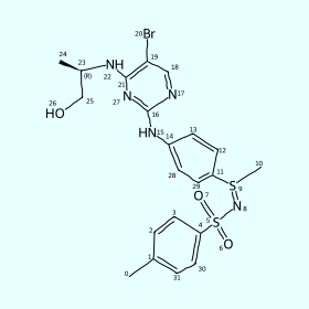 Cc1ccc(S(=O)(=O)N=S(C)c2ccc(Nc3ncc(Br)c(N[C@H](C)CO)n3)cc2)cc1